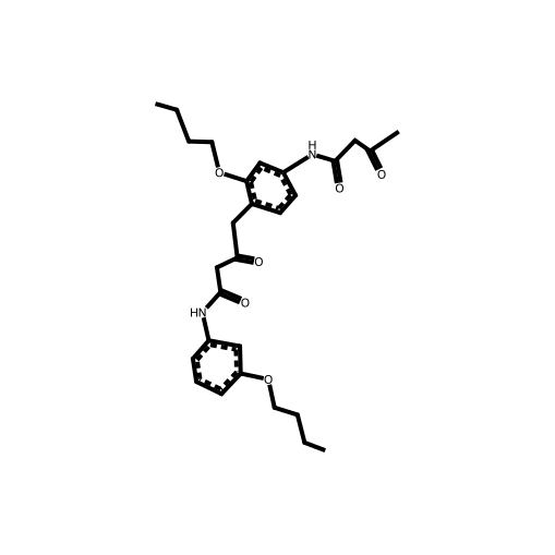 CCCCOc1cccc(NC(=O)CC(=O)Cc2ccc(NC(=O)CC(C)=O)cc2OCCCC)c1